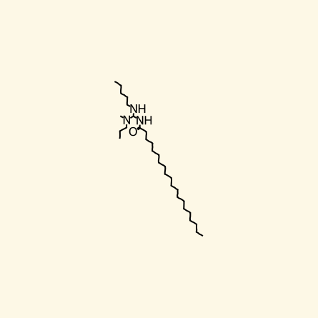 CCCCCCCCCCCCCCCCCCCC(=O)NC(NCCCCC)N(C)CCC